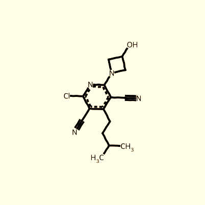 CC(C)CCc1c(C#N)c(Cl)nc(N2CC(O)C2)c1C#N